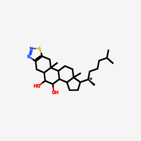 CC(C)CCC[C@@H](C)C1CCC2C3C(O)C(O)C4Cc5nnsc5CC4(C)C3CCC21C